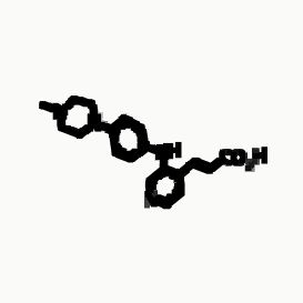 CN1CCN(c2ccc(Nc3cnccc3/C=C/C(=O)O)cc2)CC1